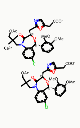 COc1cccc([C@H]2O[C@H](Cc3ncc(CC(=O)[O-])o3)C(=O)N(CC(C)(C)COC(C)=O)c3ccc(Cl)cc32)c1OC.COc1cccc([C@H]2O[C@H](Cc3ncc(CC(=O)[O-])o3)C(=O)N(CC(C)(C)COC(C)=O)c3ccc(Cl)cc32)c1OC.[Ca+2]